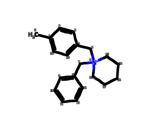 Cc1ccc(C[N+]2(Cc3ccccc3)CCCCC2)cc1